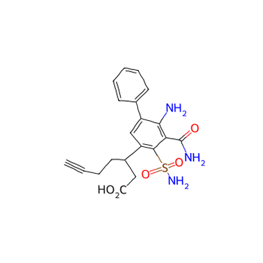 C#CCCC(CC(=O)O)c1cc(-c2ccccc2)c(N)c(C(N)=O)c1S(N)(=O)=O